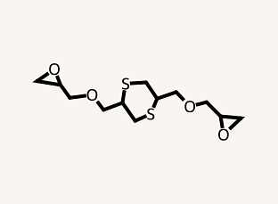 C(OCC1CSC(COCC2CO2)CS1)C1CO1